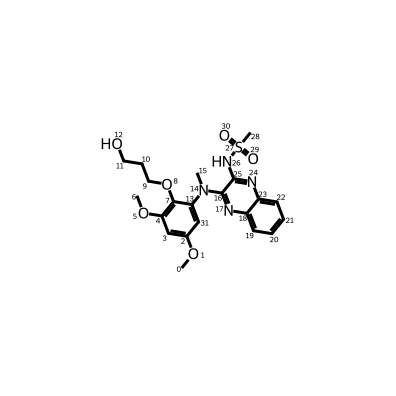 COc1cc(OC)c(OCCCO)c(N(C)c2nc3ccccc3nc2NS(C)(=O)=O)c1